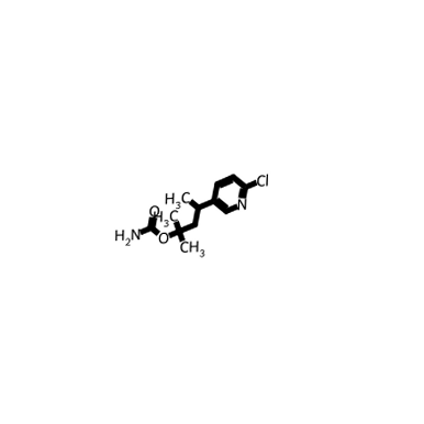 CC(CC(C)(C)OC(N)=O)c1ccc(Cl)nc1